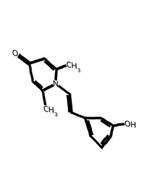 Cc1cc(=O)cc(C)n1/C=C/c1cccc(O)c1